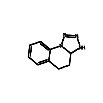 c1ccc2c(c1)CCC1NN=NN21